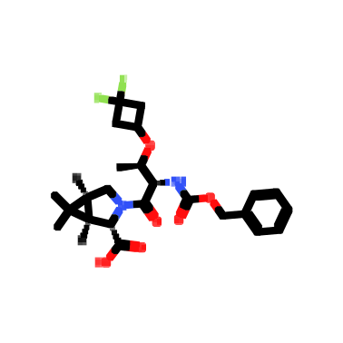 C[C@@H](OC1CC(F)(F)C1)[C@H](NC(=O)OCc1ccccc1)C(=O)N1C[C@H]2[C@@H]([C@H]1C(=O)O)C2(C)C